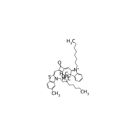 CCCCCCCCN1/C(=C\C2=C(O)C(=C\C3=[N+](CCCCCCCC)c4ccccc4C3(C)C)/C2=O)Sc2ccc(C)cc21